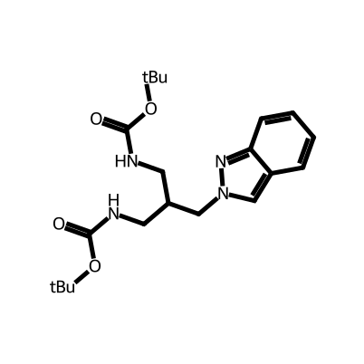 CC(C)(C)OC(=O)NCC(CNC(=O)OC(C)(C)C)Cn1cc2ccccc2n1